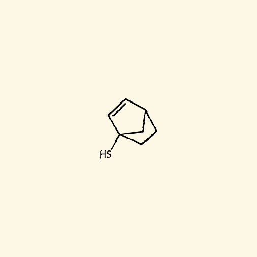 SC12C=CC(CC1)C2